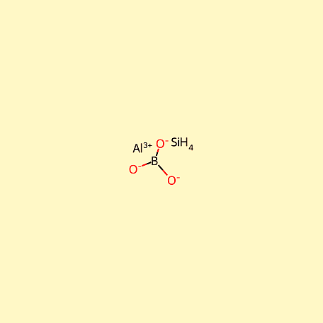 [Al+3].[O-]B([O-])[O-].[SiH4]